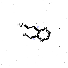 C=C/C=c1/nccn/c1=C/CC